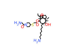 CC[C@@H](C)[C@]1(C)[C@@H]2C(=O)CC[C@@]2(CC)[C@@H](C)[C@H](O)[C@@](C)(CCCCCCCCN)C[C@H]1OC(=O)CSC1CCN(C(=O)CN)CC1